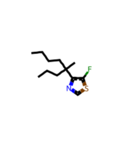 CCCCC(C)(CCC)c1ncsc1F